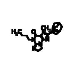 CCCCN1C(=O)c2c(nc(C34CC5CC(CC3C5)C4)n2C)N2CCN=C12